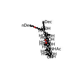 CCCCCCCCCCCCC/C=C/[C@@H](O)[C@H](CO[C@@H]1OC(CO)[C@@H](O[C@@H]2OC(CO)[C@H](O)[C@H](O[C@H]3OC(CO)[C@H](O)[C@H](O[C@@H]4OC(CO)[C@H](O)[C@H](O[C@@H]5OC(CO)[C@H](O)[C@H](O)C5O)C4NC(C)=O)C3O)C2O)[C@H](O)C1O)NC(=O)CCCCCCCCCCCCCCCCCCC